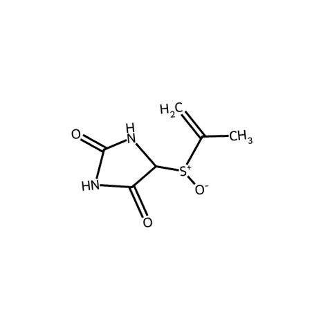 C=C(C)[S+]([O-])C1NC(=O)NC1=O